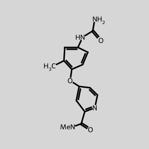 CNC(=O)c1cc(Oc2ccc(NC(N)=O)cc2C)ccn1